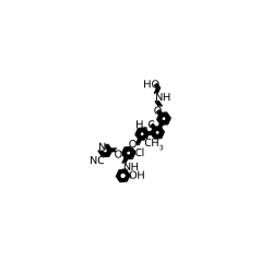 Cc1c(COc2cc(OCc3cncc(C#N)c3)c(CN[C@H]3CCCC[C@@H]3O)cc2Cl)cccc1-c1cccc(-c2cccc(OCCNCCO)c2)c1C